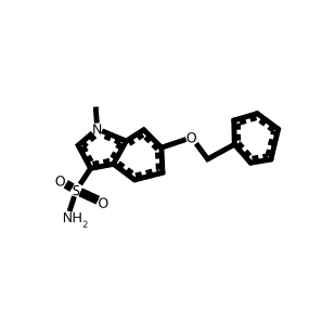 Cn1cc(S(N)(=O)=O)c2ccc(OCc3ccccc3)cc21